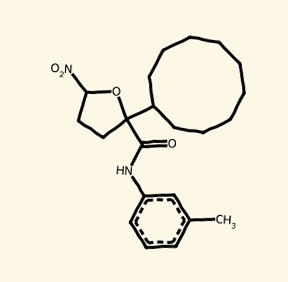 Cc1cccc(NC(=O)C2(C3CCCCCCCCC3)CCC([N+](=O)[O-])O2)c1